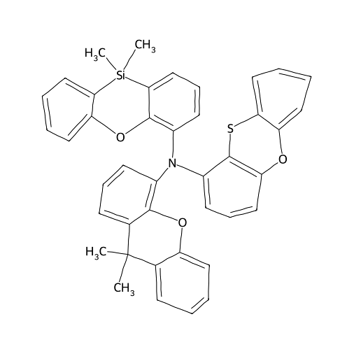 CC1(C)c2ccccc2Oc2c(N(c3cccc4c3Oc3ccccc3[Si]4(C)C)c3cccc4c3Sc3ccccc3O4)cccc21